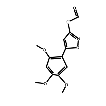 COc1cc(OC)c(-c2cc(OC=O)no2)cc1OC